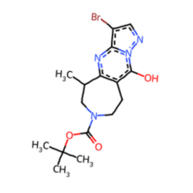 CC1CN(C(=O)OC(C)(C)C)CCc2c1nc1c(Br)cnn1c2O